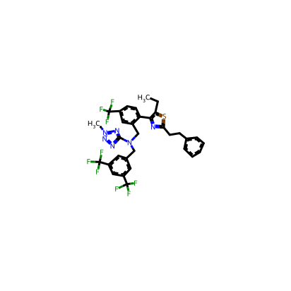 CCc1sc(CCc2ccccc2)nc1-c1ccc(C(F)(F)F)cc1CN(Cc1cc(C(F)(F)F)cc(C(F)(F)F)c1)c1nnn(C)n1